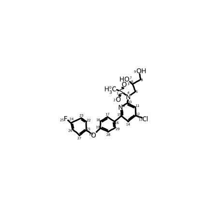 CS(=O)(=O)N(CC(O)CO)c1cc(Cl)cc(-c2ccc(Oc3ccc(F)cc3)cc2)n1